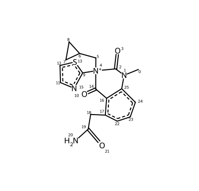 CN1C(=O)[N+](CC2CC2)(c2nccs2)C(=O)c2c(CC(N)=O)cccc21